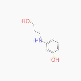 OCCCNc1cccc(O)c1